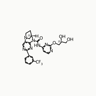 O=C(Nc1ccnc(OC[C@@H](O)CO)n1)N1c2nc(-c3cccc(C(F)(F)F)c3)ncc2N2CC[C@H]1C2